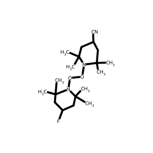 CC1(C)CC(F)CC(C)(C)N1OON1C(C)(C)CC(C#N)CC1(C)C